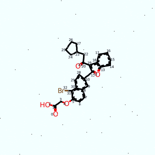 O=C(O)COc1ccc2cc(-c3oc4ccccc4c3C(=O)CC3CCCC3)ccc2c1Br